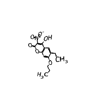 CCCOc1cc2oc(=O)c([N+](=O)[O-])c(O)c2cc1CC